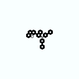 c1ccc(-c2ccc(N(c3ccc(-c4ccccc4)cc3)c3ccc(-c4ccc5ccc6cccc7oc4c5c67)c4ccccc34)cc2)cc1